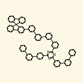 c1ccc(-c2cccc(-c3ccc(-c4nc(-c5cccc(-c6cccc(-c7ccccc7)c6)c5)nc(-c5cccc(-c6cccc(-c7cccc(-c8cccc(-c9ccc%10c(c9)C9(c%11ccccc%11-c%11ccccc%119)c9ccccc9-%10)c8)c7)c6)c5)n4)cc3)c2)cc1